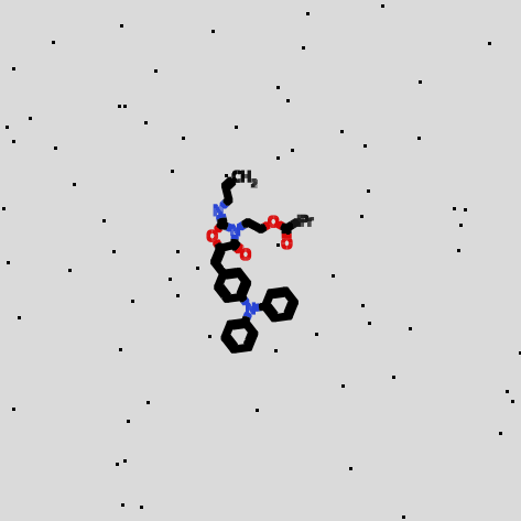 C=CC/N=C1/O/C(=C/c2ccc(N(c3ccccc3)c3ccccc3)cc2)C(=O)N1CCOC(=O)C(C)C